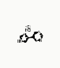 Cl.Cl.c1ncc(-c2c[nH]cn2)cn1